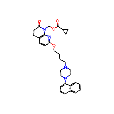 O=C(OCN1C(=O)CCc2ccc(OCCCCN3CCN(c4cccc5ccccc45)CC3)nc21)C1CC1